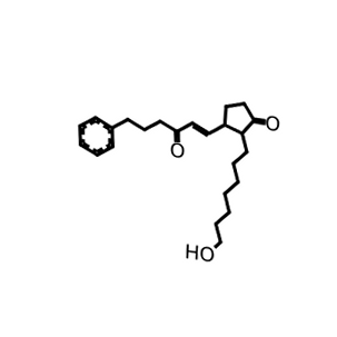 O=C(C=CC1CCC(=O)C1CCCCCCCO)CCCc1ccccc1